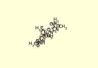 COc1ncc(NC(=O)C(=O)N2C[C@@H](C)CC[C@@]2(C)c2ccc(NS(C)(=O)=O)nc2)cc1C(N)=O